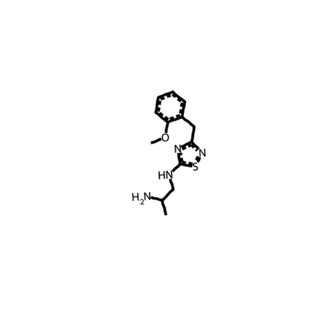 COc1ccccc1Cc1nsc(NCC(C)N)n1